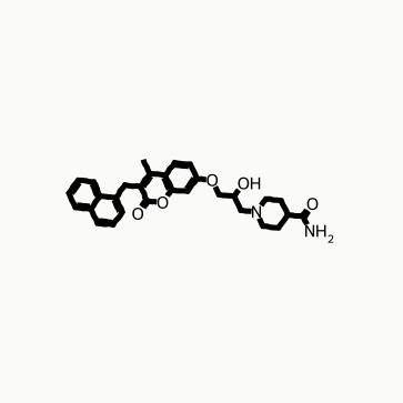 Cc1c(Cc2cccc3ccccc23)c(=O)oc2cc(OCC(O)CN3CCC(C(N)=O)CC3)ccc12